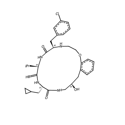 B=C1N[C@@H](CC2CC2)C(=O)NC[C@H](O)Cc2ccccc2OCCN[C@H](Cc2cccc(Cl)c2)C(=O)N[C@@H]1C(C)C